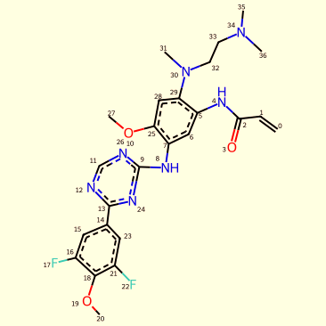 C=CC(=O)Nc1cc(Nc2ncnc(-c3cc(F)c(OC)c(F)c3)n2)c(OC)cc1N(C)CCN(C)C